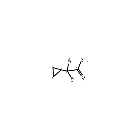 CCC(CC)(C(N)=O)C1CC1